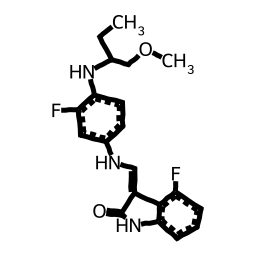 CCC(COC)Nc1ccc(N/C=C2\C(=O)Nc3cccc(F)c32)cc1F